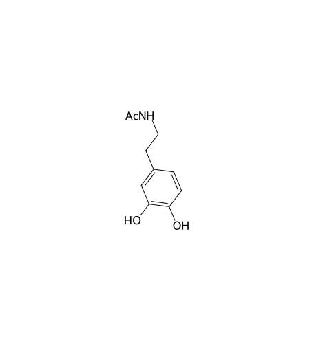 CC(=O)NCCc1ccc(O)c(O)c1